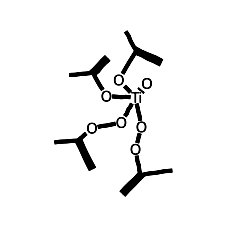 C=C(C)O[O][Ti](=[O])([O]OC(=C)C)([O]C(=C)C)[O]C(=C)C